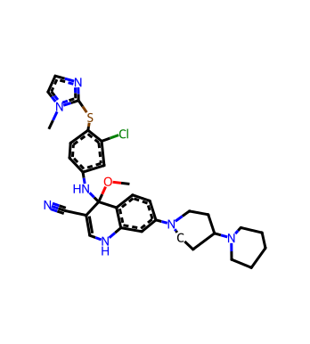 COC1(Nc2ccc(Sc3nccn3C)c(Cl)c2)C(C#N)=CNc2cc(N3CCC(N4CCCCC4)CC3)ccc21